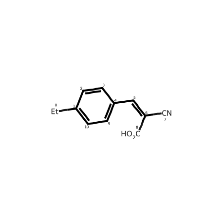 CCc1ccc(C=C(C#N)C(=O)O)cc1